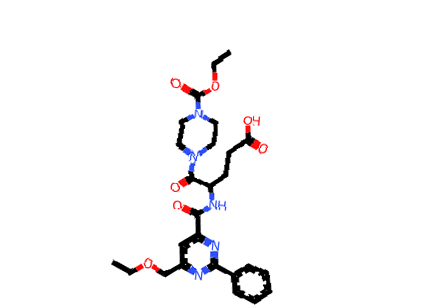 CCOCc1cc(C(=O)NC(CCC(=O)O)C(=O)N2CCN(C(=O)OCC)CC2)nc(-c2ccccc2)n1